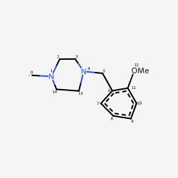 [CH2]N1CCN(Cc2ccccc2OC)CC1